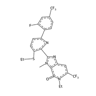 CCSc1ccc(-c2ccc(C(F)(F)F)cc2F)nc1-c1nc2cc(C(F)(F)F)n(CC)c(=O)c2n1C